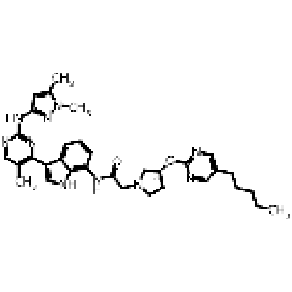 CCCCCc1cnc(O[C@H]2CCN(CC(=O)Nc3cccc4c(-c5nc(Nc6cc(C)n(C)n6)ncc5C)c[nH]c34)C2)nc1